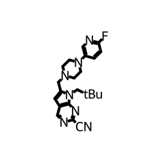 CC(C)(C)Cn1c(CN2CCN(c3ccc(F)nc3)CC2)cc2cnc(C#N)nc21